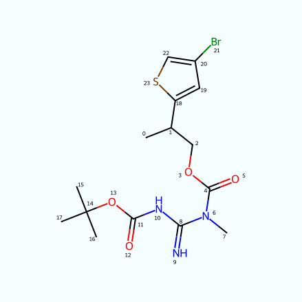 CC(COC(=O)N(C)C(=N)NC(=O)OC(C)(C)C)c1cc(Br)cs1